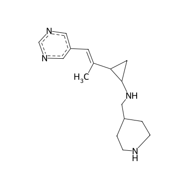 C/C(=C\c1cncnc1)C1CC1NCC1CCNCC1